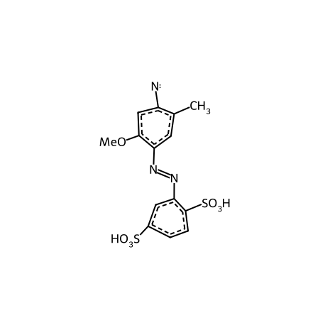 COc1cc([N])c(C)cc1N=Nc1cc(S(=O)(=O)O)ccc1S(=O)(=O)O